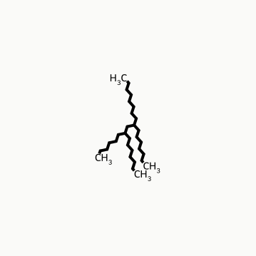 CCCCCCCCC(CCCCCCC)CC(CCCCCC)CCCCCCC